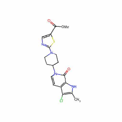 COC(=O)c1cnc(N2CCC(n3ccc4c(Cl)c(C)[nH]c4c3=O)CC2)s1